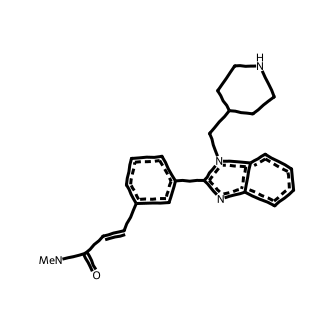 CNC(=O)/C=C/c1cccc(-c2nc3ccccc3n2CC2CCNCC2)c1